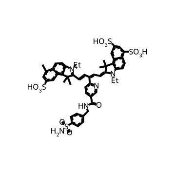 CCN1/C(=C/C=C(/C=C/C2=[N+](CC)c3ccc4c(C)cc(S(=O)(=O)O)cc4c3C2(C)C)c2ccc(C(=O)NCc3ccc(S(N)(=O)=O)cc3)cn2)C(C)(C)c2c1ccc1c(S(=O)(=O)O)cc(S(=O)(=O)O)cc21